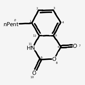 CCCCCc1cccc2c(=O)oc(=O)[nH]c12